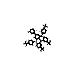 CC(C)(C)c1ccc(N2c3ccc(C(C)(C)C)cc3B3c4cc(C(C)(C)C)ccc4N(c4ccc(C(C)(C)C)cc4)c4cc(-c5cccc(F)c5)cc2c43)cc1